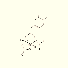 CC1CC=C(CN2C[C@H](C(F)F)[C@H]3OS(=O)O[C@@H]3C2)CC1C